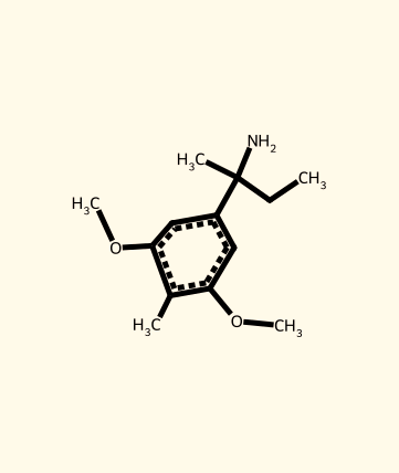 CCC(C)(N)c1cc(OC)c(C)c(OC)c1